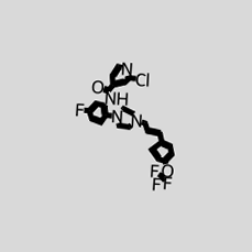 O=C(Nc1cc(F)ccc1N1CCN(C/C=C/c2ccc(OC(F)(F)F)cc2)CC1)c1ccnc(Cl)c1